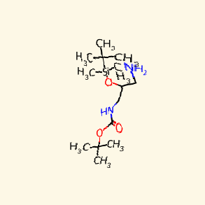 CC(C)(C)OC(=O)NCC(CN)O[Si](C)(C)C(C)(C)C